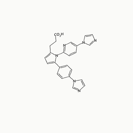 O=C(O)CCc1ccc(-c2ccc(-n3ccnc3)cc2)n1-c1ccc(-n2ccnc2)cn1